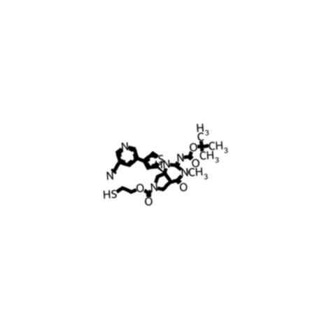 CN1C(=O)C2CN(C(=O)OCCS)C[C@]2(c2cc(-c3cncc(C#N)c3)cs2)N/C1=N/C(=O)OC(C)(C)C